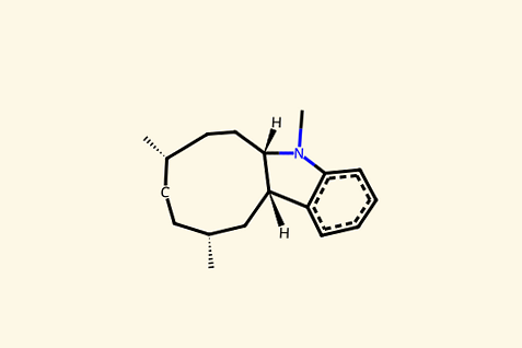 C[C@H]1CC[C@@H](C)C[C@H]2c3ccccc3N(C)[C@H]2CC1